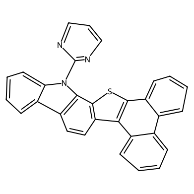 c1cnc(-n2c3ccccc3c3ccc4c(sc5c6ccccc6c6ccccc6c45)c32)nc1